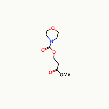 COC(=O)CCOC(=O)N1CCOCC1